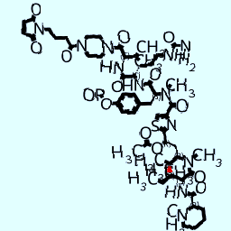 CC[C@H](C)[C@H](NC(=O)[C@H]1CCCCN1C)C(=O)N(C)[C@H](C[C@@H](OC(C)=O)c1nc(C(=O)N(C)[C@@H](Cc2ccc(OP=O)cc2)C(=O)N[C@@H](CCCNC(N)=O)C(=O)N[C@H](C(=O)N2CCN(C(=O)CCCN3C(=O)C=CC3=O)CC2)C(C)C)cs1)C(C)C